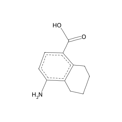 Nc1ccc(C(=O)O)c2c1CCCC2